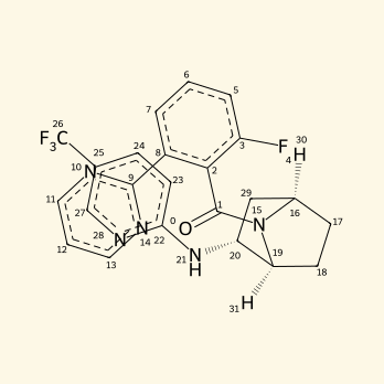 O=C(c1c(F)cccc1-c1ncccn1)N1[C@@H]2CC[C@H]1[C@H](Nc1ccc(C(F)(F)F)cn1)C2